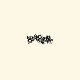 C[C@@H]1[C@@H](/N=C(/Nc2ccc3c(=O)n([C@H](CO)Cc4ccccc4)cnc3c2)N2C[C@@H](C)N[C@@H](C)C2)C[C@H]2C[C@@H]1C2(C)C